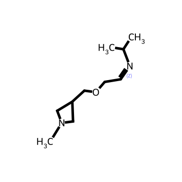 CC(C)/N=C\COCC1CN(C)C1